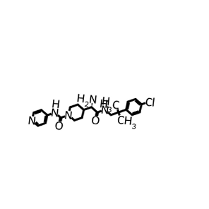 CC(C)(CNC(=O)[C@@H](N)C1CCN(C(=O)Nc2ccncc2)CC1)c1ccc(Cl)cc1